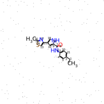 CCc1ccc(NC(=O)c2cc(-c3csc(C)n3)c[nH]2)cc1